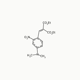 CCOC(=O)C(=Cc1ccc(N(C)C)cc1[N+](=O)[O-])C(=O)OCC